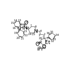 CCC(CCCN1CCC(NC(=O)c2ccccc2-c2ccccc2)CC1)(CC(=O)OC(C)C)c1ccccc1